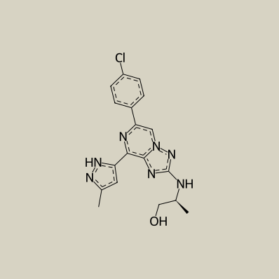 Cc1cc(-c2nc(-c3ccc(Cl)cc3)cn3nc(N[C@@H](C)CO)nc23)[nH]n1